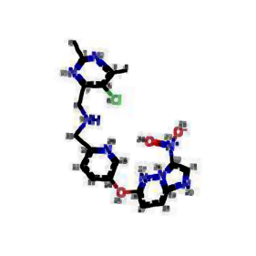 Cc1nc(C)c(Cl)c(CNCc2ccc(Oc3ccc4ncc([N+](=O)[O-])n4n3)cn2)n1